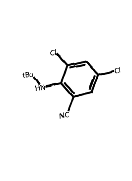 CC(C)(C)Nc1c(Cl)cc(Cl)cc1C#N